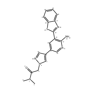 CN(C)C(=O)Cn1cc(-c2cnc(N)c(-c3nc4ccccc4s3)c2)cn1